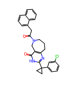 O=C(Cc1cccc2ccccc12)N1CCCc2nc(C3(c4cccc(Cl)c4)CC3)[nH]c(=O)c2C1